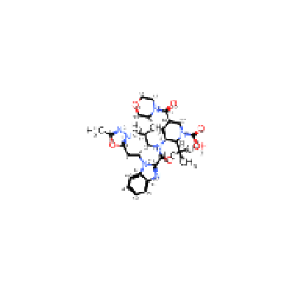 Cc1nnc(CCn2c(C(=O)N(CC(C)C)[C@H]3C[C@@H](C(=O)N4CCOCC4)CN(C(=O)O)C3C(C)(C)C)nc3ccccc32)o1